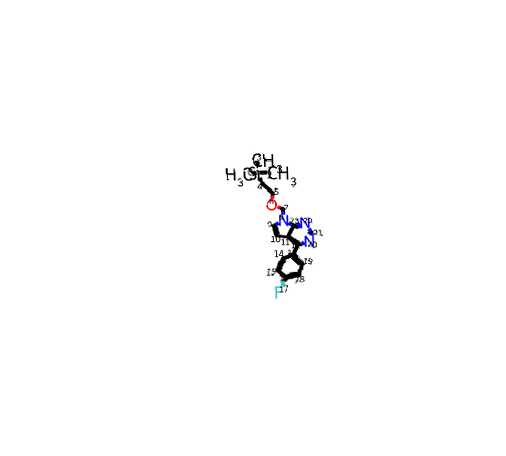 C[Si](C)(C)CCOCn1ccc2c(-c3ccc(F)cc3)ncnc21